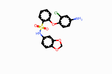 Nc1ccc(Oc2ccccc2S(=O)(=O)Nc2ccc3c(c2)OCO3)c(Cl)c1